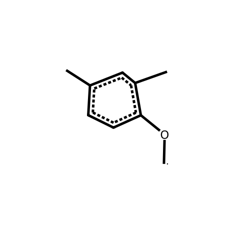 [CH2]Oc1ccc(C)cc1C